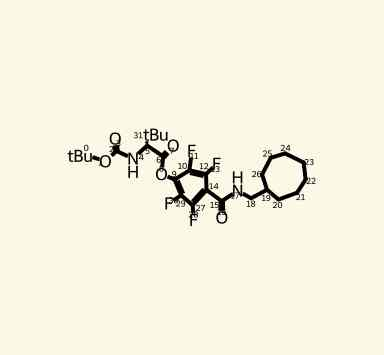 CC(C)(C)OC(=O)N[C@H](C(=O)Oc1c(F)c(F)c(C(=O)NCC2CCCCCCC2)c(F)c1F)C(C)(C)C